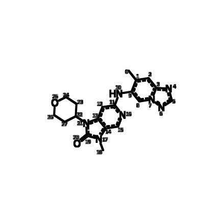 Cc1cc2ncnn2cc1Nc1cc2c(cn1)n(C)c(=O)n2C1CCOCC1